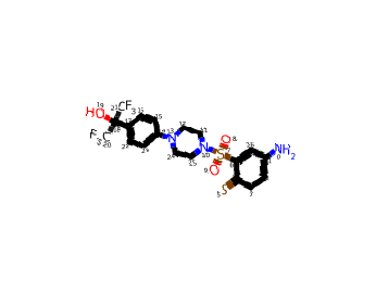 NC1=CCC(=S)C(S(=O)(=O)N2CCN(c3ccc(C(O)(C(F)(F)F)C(F)(F)F)cc3)CC2)=C1